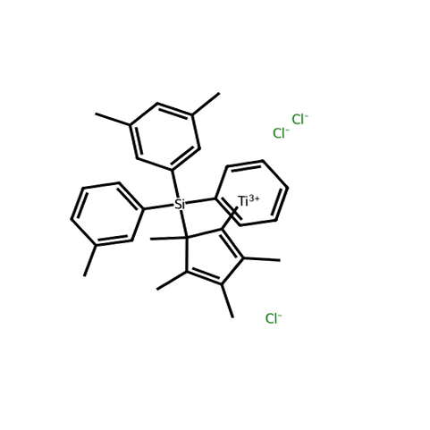 CC1=C(C)C(C)([Si](c2ccccc2)(c2cccc(C)c2)c2cc(C)cc(C)c2)[C]([Ti+3])=C1C.[Cl-].[Cl-].[Cl-]